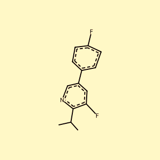 CC(C)c1ncc(-c2ccc(F)cc2)cc1F